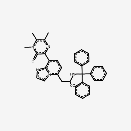 Cc1nc(-c2ccc(CC(NC(c3ccccc3)(c3ccccc3)c3ccccc3)C(=O)O)n3ccnc23)c(=O)n(C)c1C